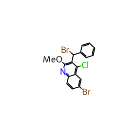 COc1nc2ccc(Br)cc2c(Cl)c1C(Br)c1ccccc1